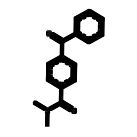 CN(C)C(=O)c1ccc(C(=O)c2ccccc2)cc1